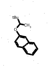 CC(Oc1ccc2ccccc2c1)C(C)(C)C